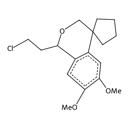 COc1cc2c(cc1OC)C1(CCCC1)COC2CCCl